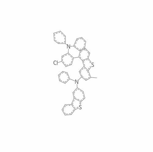 Cc1cc(N(c2ccccc2)c2ccc3sc4ccccc4c3c2)cc2c1sc1cccc(-c3ccc(Cl)cc3N(c3ccccc3)c3ccccc3)c12